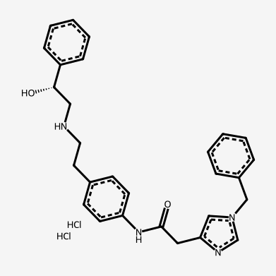 Cl.Cl.O=C(Cc1cn(Cc2ccccc2)cn1)Nc1ccc(CCNC[C@H](O)c2ccccc2)cc1